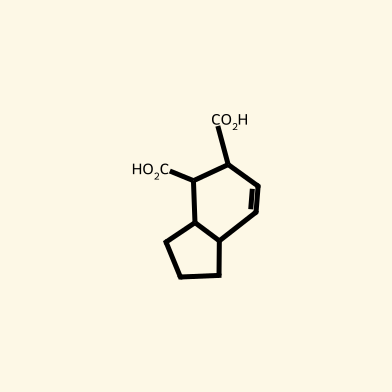 O=C(O)C1C=CC2CCCC2C1C(=O)O